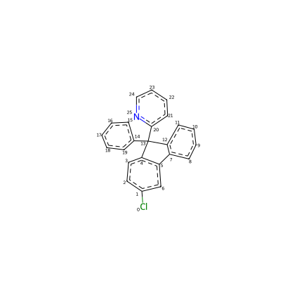 Clc1ccc2c(c1)-c1ccccc1C2(c1ccccc1)c1ccccn1